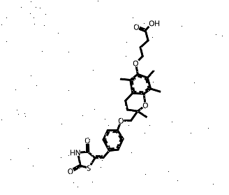 Cc1c(C)c2c(c(C)c1OCCCC(=O)O)CCC(C)(COc1ccc(C=C3SC(=O)NC3=O)cc1)O2